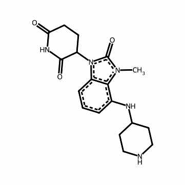 Cn1c(=O)n(C2CCC(=O)NC2=O)c2cccc(NC3CCNCC3)c21